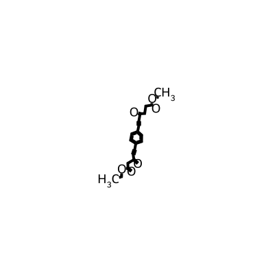 CCOC(=O)CCC(=O)C#Cc1ccc(C#CC(=O)CC(=O)OCC)cc1